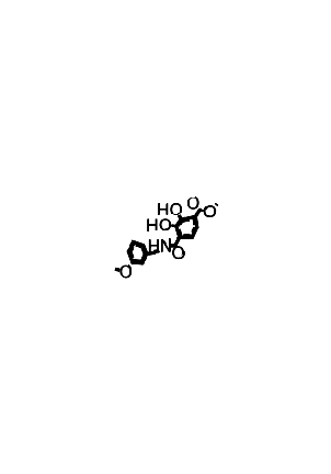 COC(=O)c1ccc(C(=O)NCc2cccc(OC)c2)c(O)c1O